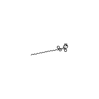 CCCCCCCCCCCCCCCCCCCCCC(=O)OCCN1CCN=CCCC1=O